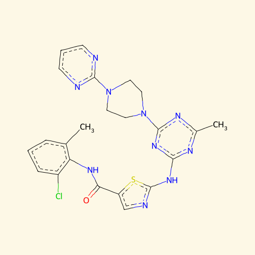 Cc1nc(Nc2ncc(C(=O)Nc3c(C)cccc3Cl)s2)nc(N2CCN(c3ncccn3)CC2)n1